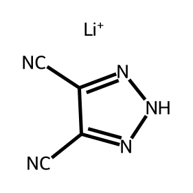 N#Cc1n[nH]nc1C#N.[Li+]